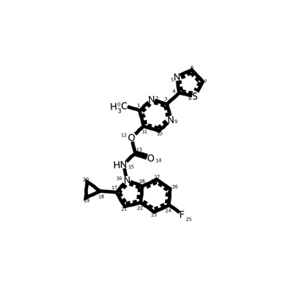 Cc1nc(-c2nccs2)ncc1OC(=O)Nn1c(C2CC2)cc2cc(F)ccc21